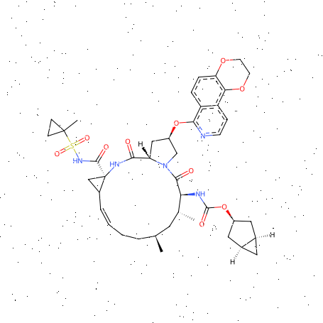 C[C@H]1CC/C=C\C2C[C@@]2(C(=O)NS(=O)(=O)C2(C)CC2)NC(=O)[C@@H]2C[C@@H](Oc3nccc4c5c(ccc34)OCCO5)CN2C(=O)[C@@H](NC(=O)O[C@@H]2C[C@@H]3C[C@@H]3C2)[C@H](C)C1